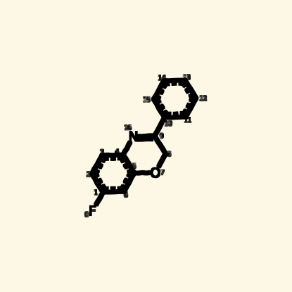 Fc1ccc2c(c1)OCC(c1ccccc1)=N2